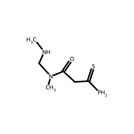 CNCN(C)C(=O)CC(P)=S